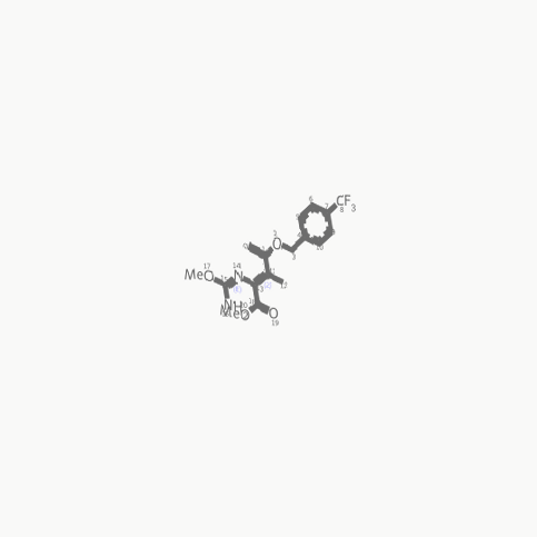 C=C(OCc1ccc(C(F)(F)F)cc1)/C(C)=C(\N=C(/N)OC)C(=O)OC